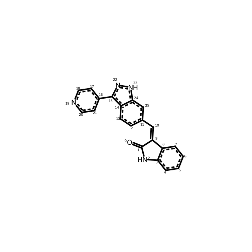 O=C1Nc2ccccc2C1=Cc1ccc2c(-c3ccncc3)n[nH]c2c1